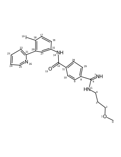 COCCCNC(=N)c1ccc(C(=O)Nc2ccc(I)c(-c3ccccn3)c2)cc1